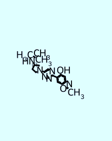 Cc1nc2cc(O)c(-c3ncc(N4CC[C@H](NC(C)(C)C)C4)nn3)cc2o1